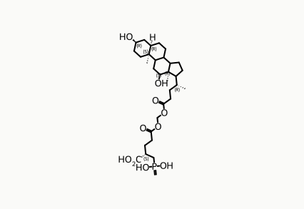 C=P(O)(O)C[C@@H](CCC(=O)OCOC(=O)CC[C@@H](C)C1CCC2C3CC[C@@H]4C[C@H](O)CC[C@]4(C)C3C[C@H](O)[C@@]21C)C(=O)O